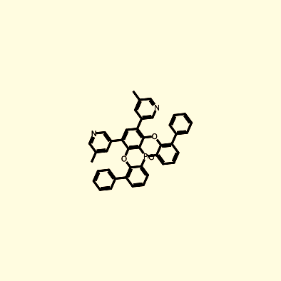 Cc1cncc(-c2cc(-c3cncc(C)c3)c3c4c2Oc2c(-c5ccccc5)cccc2P4(=O)c2cccc(-c4ccccc4)c2O3)c1